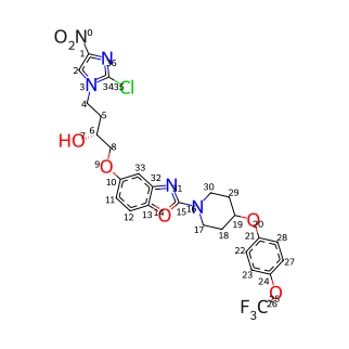 O=[N+]([O-])c1cn(CC[C@@H](O)COc2ccc3oc(N4CCC(Oc5ccc(OC(F)(F)F)cc5)CC4)nc3c2)c(Cl)n1